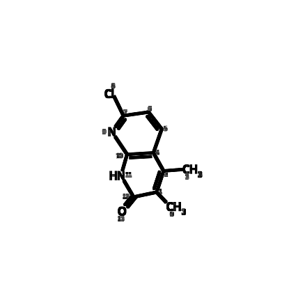 Cc1c(C)c2ccc(Cl)nc2[nH]c1=O